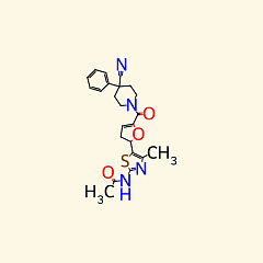 CC(=O)Nc1nc(C)c(C2CC=C(C(=O)N3CCC(C#N)(c4ccccc4)CC3)O2)s1